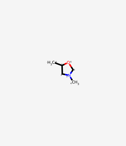 [CH2]C1CN(C)CO1